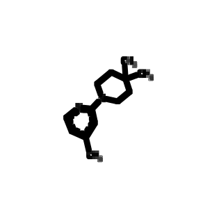 Cc1ccnc(N2CCC(C)(C)CC2)c1